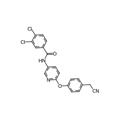 N#CCc1ccc(Oc2ccc(NC(=O)c3ccc(Cl)c(Cl)c3)cn2)cc1